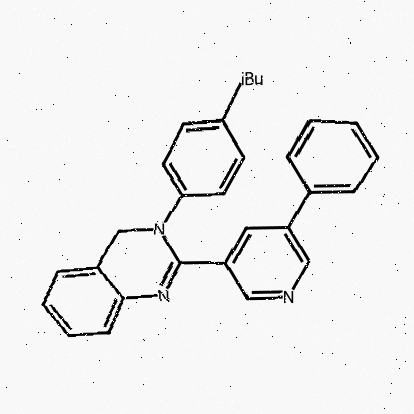 CCC(C)c1ccc(N2Cc3ccccc3N=C2c2cncc(-c3ccccc3)c2)cc1